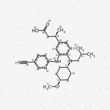 CO[C@H]1CC[C@@H](N(CC(C)C)c2ncc([C@H](C)CC(=O)O)cc2Nc2ccc(C#N)cn2)CC1